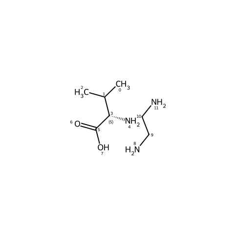 CC(C)[C@H](N)C(=O)O.NCCN